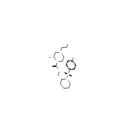 C[C@H]1CN(CCO)CCN1C(=O)OC[C@@H]1CCCCN1S(=O)(=O)c1ccc(Cl)cc1